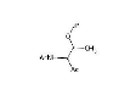 CC(=O)NC(C(C)=O)C(C)OC(C)C